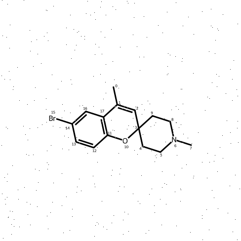 CC1=CC2(CCN(C)CC2)Oc2ccc(Br)cc21